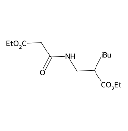 CCOC(=O)CC(=O)NCC(C(=O)OCC)C(C)CC